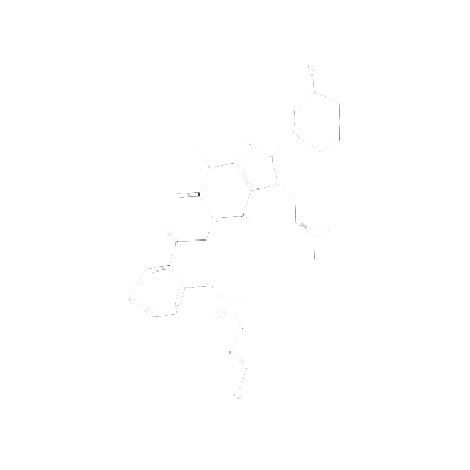 CC(C)=CCn1c(N2CCCC(N)C2)nc2c1c(=O)n(CC(=O)c1ccccc1NS(=O)(=O)CC=CN)c(=O)n2C